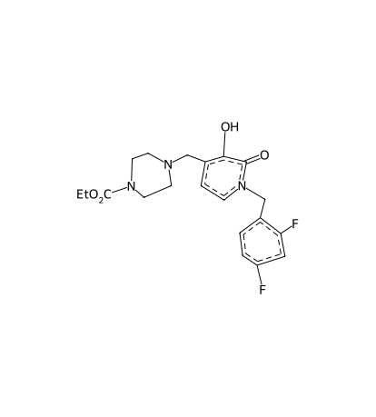 CCOC(=O)N1CCN(Cc2ccn(Cc3ccc(F)cc3F)c(=O)c2O)CC1